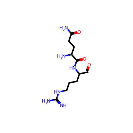 N=C(N)NCCCC([C]=O)NC(=O)C(N)CCC(N)=O